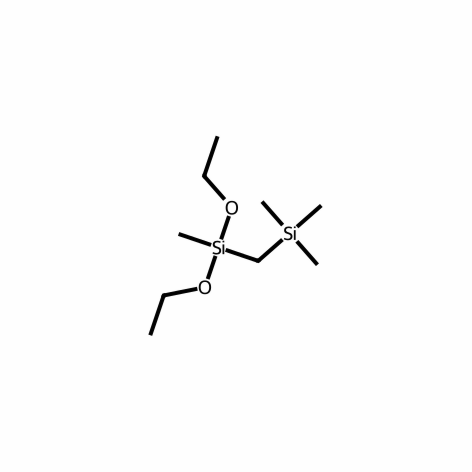 CCO[Si](C)(C[Si](C)(C)C)OCC